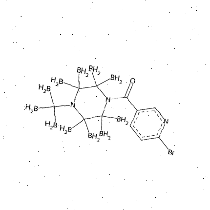 BC(B)(B)N1C(B)(B)C(B)(B)N(C(=O)c2ccc(Br)nc2)C(B)(B)C1(B)B